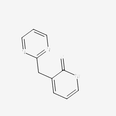 O=c1[nH]cccc1Cc1ncccn1